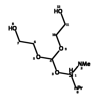 CCC[SiH](NC)OC(OCCO)OCCO